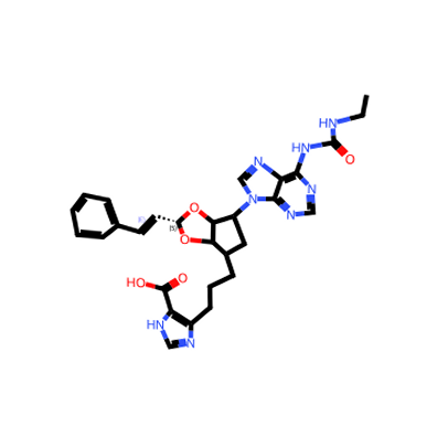 CCNC(=O)Nc1ncnc2c1ncn2C1CC(CCCc2nc[nH]c2C(=O)O)C2O[C@H](/C=C/c3ccccc3)OC21